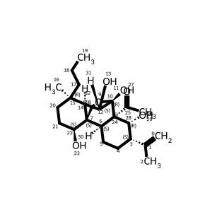 C=C(C)[C@@H]1CC[C@H]2[C@@]34CO[C@@](O)([C@@H](O)[C@@H]3[C@](C)(CCC)CC[C@@H]4O)[C@@]2(C(C)=O)[C@@H]1O